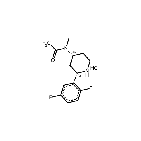 CN(C(=O)C(F)(F)F)[C@@H]1CCN[C@H](c2cc(F)ccc2F)C1.Cl